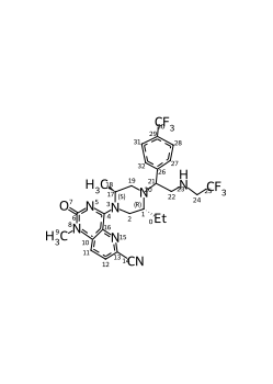 CC[C@@H]1CN(c2nc(=O)n(C)c3ccc(C#N)nc23)[C@@H](C)CN1C(CNCC(F)(F)F)c1ccc(C(F)(F)F)cc1